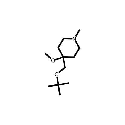 COC1(COC(C)(C)C)CCN(C)CC1